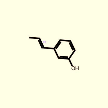 C/C=C/c1cccc(O)c1